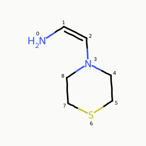 N/C=C\N1CCSCC1